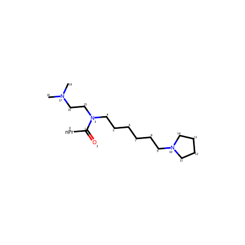 CCCC(=O)N(CCCCCCN1CCCC1)CCN(C)C